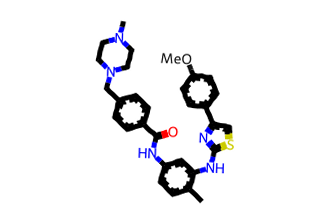 COc1ccc(-c2csc(Nc3cc(NC(=O)c4ccc(CN5CCN(C)CC5)cc4)ccc3C)n2)cc1